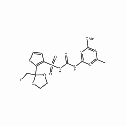 COc1nc(C)nc(NC(=O)NS(=O)(=O)c2ccsc2C2(CF)OCCO2)n1